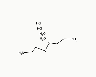 Cl.Cl.NCCSSCCN.O.O